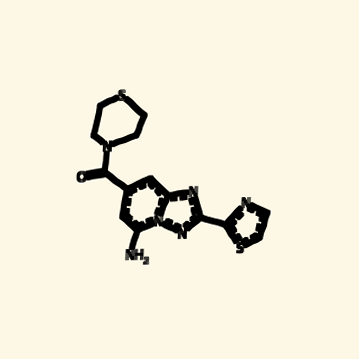 Nc1cc(C(=O)N2CCSCC2)cc2nc(-c3nccs3)nn12